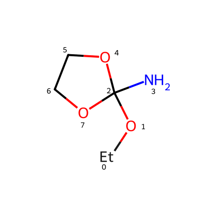 CCOC1(N)OCCO1